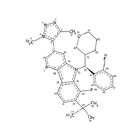 Cc1nnn(C)c1-c1cnc2c3ccc(C(C)(C)O)c(F)c3n([C@H](c3ccccc3F)C3CCCOC3)c2c1